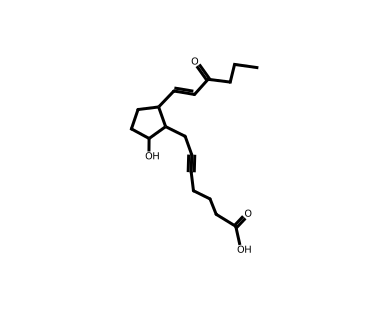 CCCC(=O)/C=C/C1CCC(O)C1CC#CCCCC(=O)O